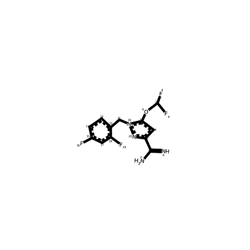 N=C(N)c1cc(OC(F)F)n(Cc2ccc(F)cc2F)n1